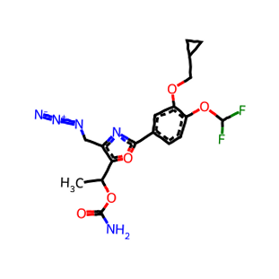 CC(OC(N)=O)c1oc(-c2ccc(OC(F)F)c(OCC3CC3)c2)nc1CN=[N+]=[N-]